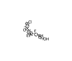 CCc1cc(C(=O)N2CCn3c(Cl)ccc3C2C)nc2cc(-c3ccc(BOC(C)(C)C(C)(C)O)cc3F)nn12